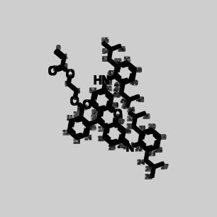 C=CC(=O)OCCOC(=O)c1ccccc1-c1c2cc/c(=N/c3c(CC(C)C)cccc3CC(C)C)cc-2oc2cc(Nc3c(CC(C)C)cccc3CC(C)C)ccc12